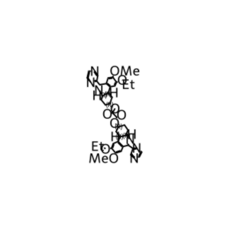 CCOc1cc2c(cc1OC)C(c1cnccn1)=N[C@@H]1CC[C@@H](OC(=O)C(=O)O[C@@H]3CC[C@H]4N=C(c5cnccn5)c5cc(OC)c(OCC)cc5[C@H]4C3)C[C@H]21